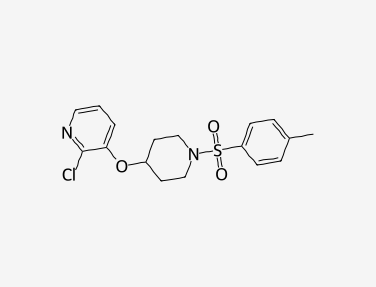 Cc1ccc(S(=O)(=O)N2CCC(Oc3cccnc3Cl)CC2)cc1